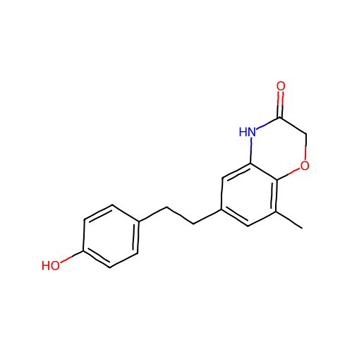 Cc1cc(CCc2ccc(O)cc2)cc2c1OCC(=O)N2